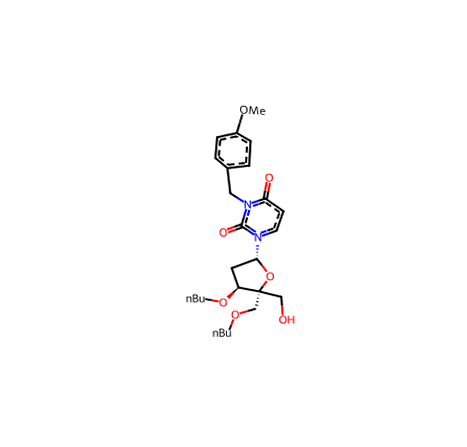 CCCCOC[C@@]1(CO)O[C@@H](n2ccc(=O)n(Cc3ccc(OC)cc3)c2=O)C[C@@H]1OCCCC